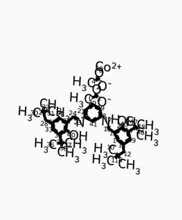 CC(=O)[O-].CC(=O)[O-].CC(C)(C)Cc1cc(C=Nc2cccc(N=Cc3cc(CC(C)(C)C)cc(C(C)(C)C)c3O)c2)c(O)c(C(C)(C)C)c1.[Co+2]